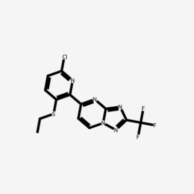 CCSc1ccc(Cl)nc1-c1ccn2nc(C(F)(F)F)nc2n1